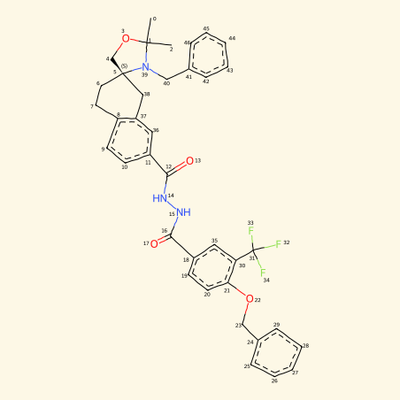 CC1(C)OC[C@@]2(CCc3ccc(C(=O)NNC(=O)c4ccc(OCc5ccccc5)c(C(F)(F)F)c4)cc3C2)N1Cc1ccccc1